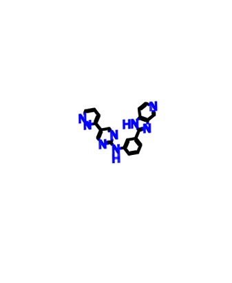 c1cc(Nc2ncc(-c3cccnn3)cn2)cc(-c2nc3cnccc3[nH]2)c1